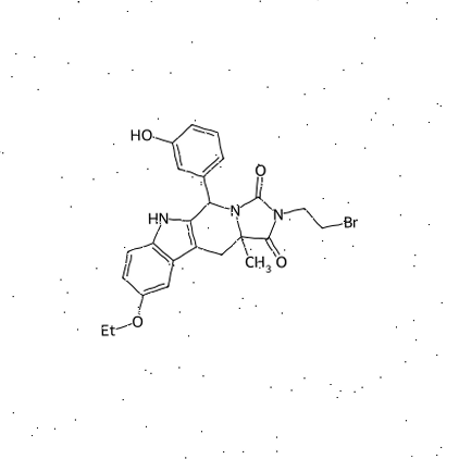 CCOc1ccc2[nH]c3c(c2c1)CC1(C)C(=O)N(CCBr)C(=O)N1C3c1cccc(O)c1